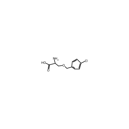 NC(COCc1ccc(Cl)cc1)C(=O)O